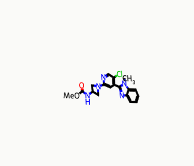 COC(=O)NC1CN(c2cc(-c3nc4ccccc4n3C)c(Cl)cn2)C1